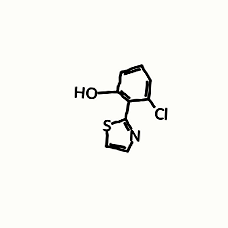 Oc1cccc(Cl)c1-c1nccs1